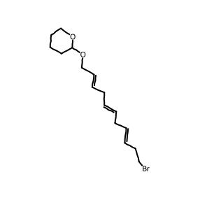 BrCCC=CCC=CCC=CCOC1CCCCO1